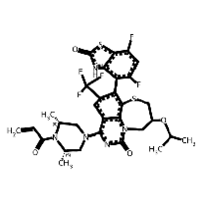 C=CC(=O)N1[C@H](C)CN(c2nc(=O)n3c4c(c(-c5c(F)cc(F)c6sc(=O)[nH]c56)c(C(F)(F)F)cc24)SCC(OC(C)C)C3)C[C@@H]1C